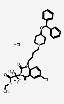 CCOC(=O)C(C)(C)n1c(=O)c2cc(Cl)ccc2n(CCCCN2CCC(OC(c3ccccc3)c3ccccc3)CC2)c1=O.Cl